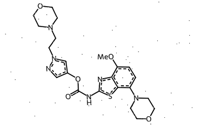 COc1ccc(N2CCOCC2)c2sc(NC(=O)Oc3cnn(CCN4CCOCC4)c3)nc12